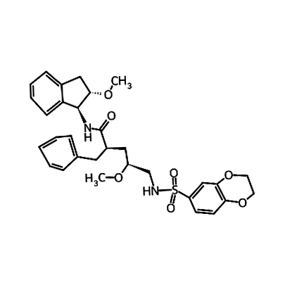 CO[C@H](CNS(=O)(=O)c1ccc2c(c1)OCCO2)C[C@@H](Cc1ccccc1)C(=O)N[C@H]1c2ccccc2C[C@@H]1OC